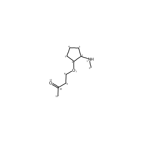 CNC1CCCC1OCCC(C)=O